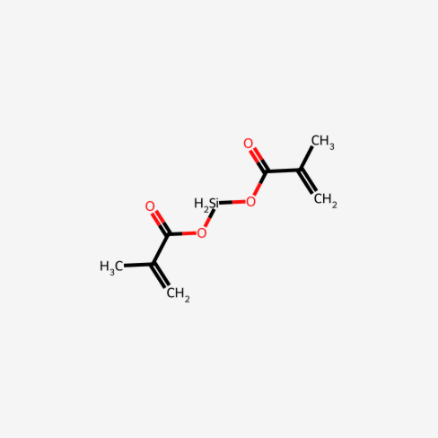 C=C(C)C(=O)O[SiH2]OC(=O)C(=C)C